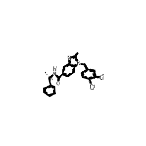 Cc1nc2cc(C(=O)N[C@@H](C)c3ccccc3)ccc2n1Cc1ccc(Cl)c(Cl)c1